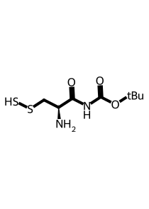 CC(C)(C)OC(=O)NC(=O)[C@@H](N)CSS